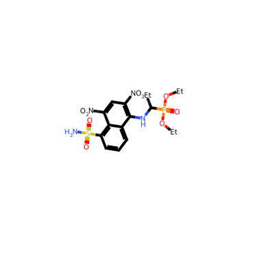 CCOP(=O)(OCC)C(CC)Nc1c([N+](=O)[O-])cc([N+](=O)[O-])c2c(S(N)(=O)=O)cccc12